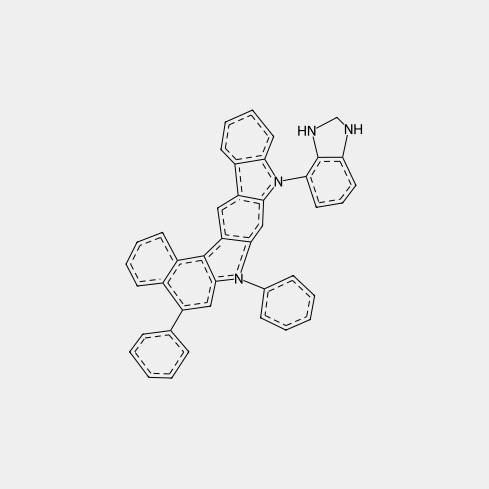 c1ccc(-c2cc3c(c4ccccc24)c2cc4c5ccccc5n(-c5cccc6c5NCN6)c4cc2n3-c2ccccc2)cc1